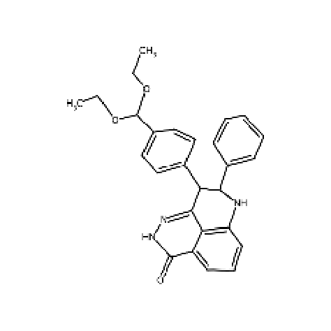 CCOC(OCC)c1ccc(C2c3n[nH]c(=O)c4cccc(c34)NC2c2ccccc2)cc1